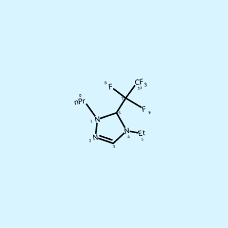 CCCN1N=CN(CC)C1C(F)(F)C(F)(F)F